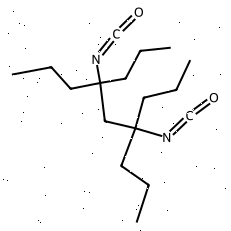 CCCC(CCC)(CC(CCC)(CCC)N=C=O)N=C=O